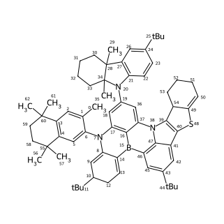 Cc1cc2c(cc1N1C3=CC(C(C)(C)C)CC=C3B3c4c1cc(N1c5ccc(C(C)(C)C)cc5C5(C)CCCCC15C)cc4-n1c4c(c5cc(C(C)(C)C)cc3c51)SC1=CCCCC14)C(C)(C)CCC2(C)C